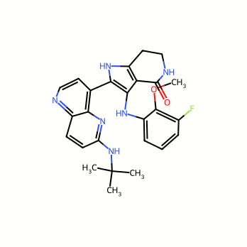 COc1c(F)cccc1Nc1c(-c2ccnc3ccc(NC(C)(C)C)nc23)[nH]c2c1C(=O)NCC2